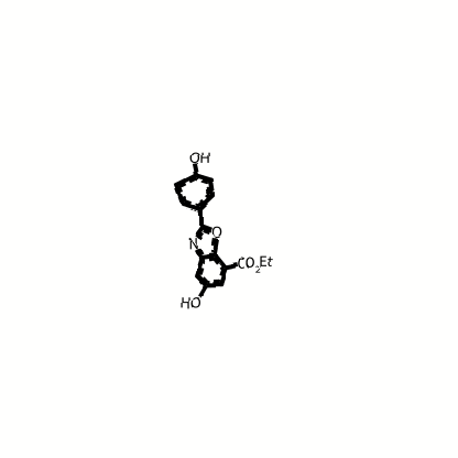 CCOC(=O)c1cc(O)cc2nc(-c3ccc(O)cc3)oc12